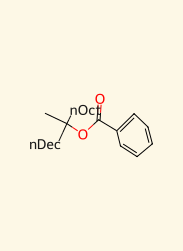 CCCCCCCCCCC(C)(CCCCCCCC)OC(=O)c1ccccc1